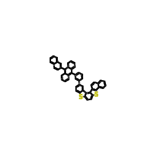 c1cc(-c2ccc3sc4ccc5sc6c7ccccc7ccc6c5c4c3c2)cc(-c2c3ccccc3c(-c3ccc4ccccc4c3)c3ccccc23)c1